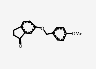 COc1ccc(COc2ccc3c(c2)C(=O)CC3)cc1